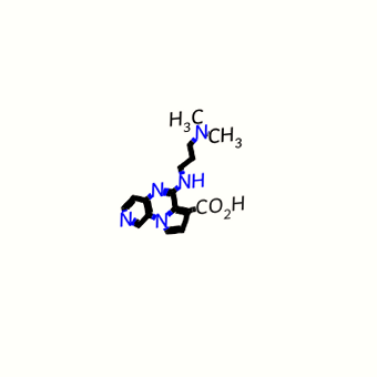 CN(C)CCCNc1nc2ccncc2n2ccc(C(=O)O)c12